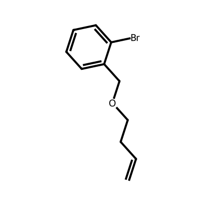 C=CCCOCc1ccccc1Br